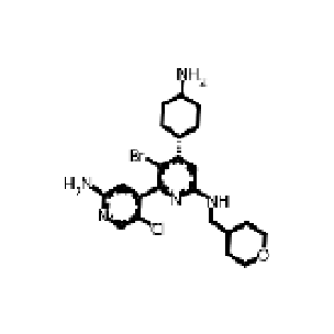 Nc1cc(-c2nc(NCC3CCOCC3)cc([C@H]3CC[C@H](N)CC3)c2Br)c(Cl)cn1